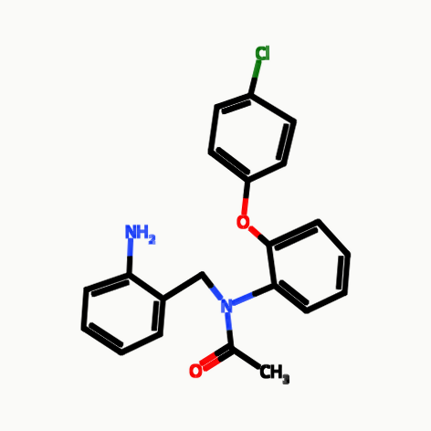 CC(=O)N(Cc1ccccc1N)c1ccccc1Oc1ccc(Cl)cc1